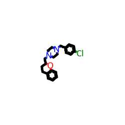 Clc1ccc(CN2CCN(CC3CCc4ccccc4O3)CC2)cc1